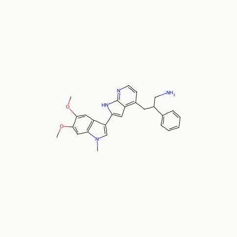 COc1cc2c(-c3cc4c(CC(CN)c5ccccc5)ccnc4[nH]3)cn(C)c2cc1OC